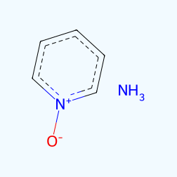 N.[O-][n+]1ccccc1